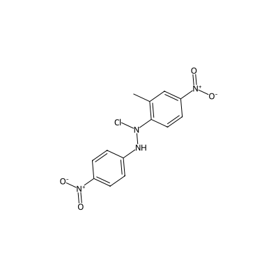 Cc1cc([N+](=O)[O-])ccc1N(Cl)Nc1ccc([N+](=O)[O-])cc1